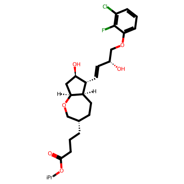 CC(C)OC(=O)CCC[C@H]1CC[C@@H]2[C@@H](C=C[C@@H](O)COc3cccc(Cl)c3F)[C@H](O)C[C@@H]2OC1